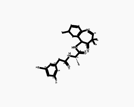 CC1C=CC2=C(C1)C(NC(=O)[C@H](C)NC(=O)Cc1cc(F)cc(F)c1)C(=O)C(C)(C)C=N2